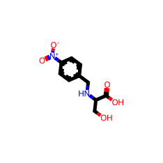 O=C(O)C(CO)NCc1ccc([N+](=O)[O-])cc1